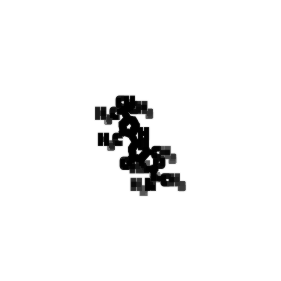 Cc1cc(C(C)(C)C)ccc1-c1cc(=O)c(NC(=O)[C@@H](C)N)c(C)[nH]1